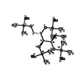 CC(C)(C)[Si](C)(C)OC[C@H](O[Si](C)(C)C(C)(C)C)[C@H](O[Si](C)(C)C(C)(C)C)[C@@H](CO)O[Si](C)(C)C(C)(C)C